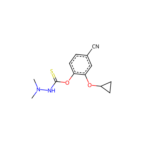 CN(C)NC(=S)Oc1ccc(C#N)cc1OC1CC1